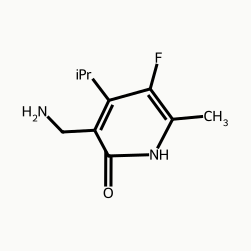 Cc1[nH]c(=O)c(CN)c(C(C)C)c1F